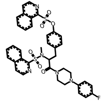 CN(C(Cc1ccc(OS(=O)(=O)c2nccc3ccccc23)cc1)C(=O)N1CCN(c2ccc(F)cc2)CC1)S(=O)(=O)c1nccc2ccccc12